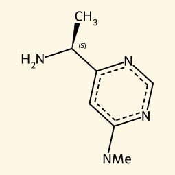 CNc1cc([C@H](C)N)ncn1